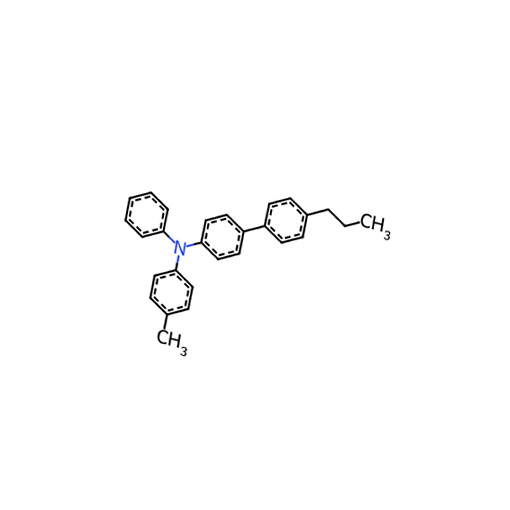 CCCc1ccc(-c2ccc(N(c3ccccc3)c3ccc(C)cc3)cc2)cc1